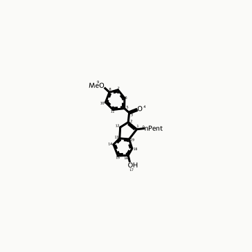 CCCCCC1=C(C(=O)c2ccc(OC)cc2)Cc2ccc(O)cc21